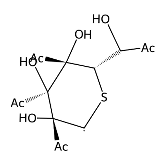 CC(=O)C(O)[C@@H]1S[CH][C@@](O)(C(C)=O)[C@](O)(C(C)=O)[C@@]1(O)C(C)=O